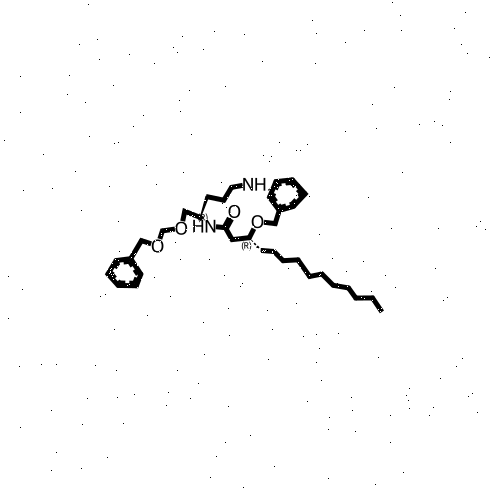 CCCCCCCCCCC[C@H](CC(=O)N[C@H](CCCN)COCOCc1ccccc1)OCc1ccccc1